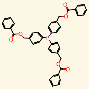 O=C(OCc1ccc(P(c2ccc(COC(=O)c3ccccc3)cc2)c2ccc(COC(=O)c3ccccc3)cc2)cc1)c1ccccc1